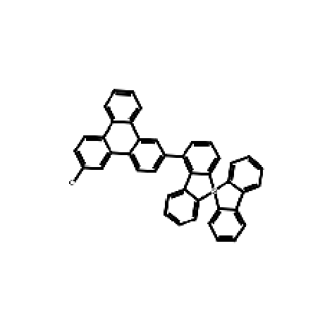 Clc1ccc2c3ccccc3c3cc(-c4cccc5c4-c4ccccc4[Si]54c5ccccc5-c5ccccc54)ccc3c2c1